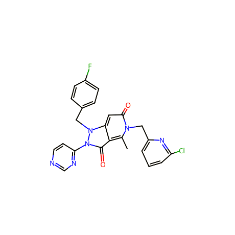 Cc1c2c(=O)n(-c3ccncn3)n(Cc3ccc(F)cc3)c2cc(=O)n1Cc1cccc(Cl)n1